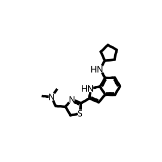 CN(C)CC1CSC(c2cc3cccc(NC4CCCC4)c3[nH]2)=N1